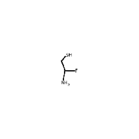 NC(F)CS